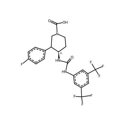 O=C(Nc1cc(C(F)(F)F)cc(C(F)(F)F)c1)N[C@@H]1CCN(C(=O)O)CC1c1ccc(F)cc1